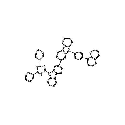 c1ccc(-c2nc(-c3ccccc3)nc(-n3c4ccccc4c4ccc(-c5ccc6c7ccccc7n(-c7ccc(-c8cccc9ccccc89)cc7)c6c5)cc43)n2)cc1